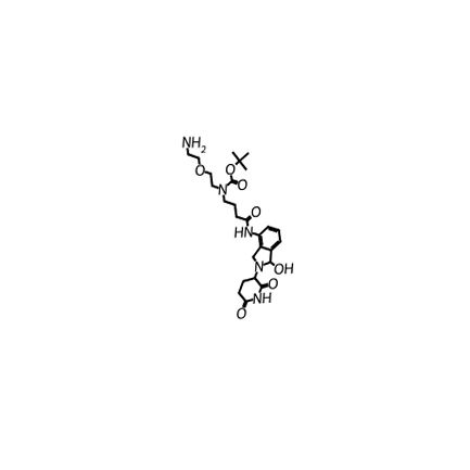 CC(C)(C)OC(=O)N(CCCC(=O)Nc1cccc2c1CN(C1CCC(=O)NC1=O)C2O)CCOCCN